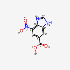 COC(=O)c1cc([N+](=O)[O-])c2nc[nH]c2c1